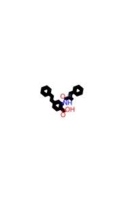 C/C(=C\c1ccccc1)C(=O)Nc1cc(CCc2ccccc2)ccc1C(=O)O